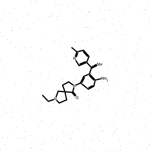 CCN1CCC2(CCN(c3ccc(N)c(C(=N)c4ccc(C)nc4)c3)C2=O)C1